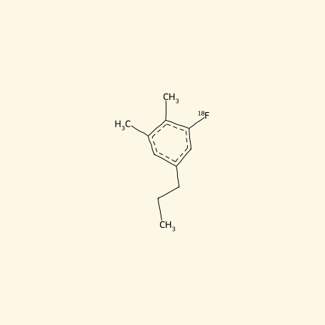 CCCc1cc(C)c(C)c([18F])c1